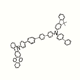 CC1(C)c2ccccc2-c2ccc(N(c3ccc(-c4ccccc4)cc3)c3ccc(-c4ccc(-c5ccc(-c6ccc(-n7c8ccccc8c8cc9c(cc87)Oc7ccccc7O9)cc6)cc5)cc4)cc3)cc21